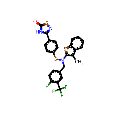 Cc1c(N(Cc2ccc(F)c(C(F)(F)F)c2)Sc2ccc(-c3nsc(=O)[nH]3)cc2)sc2ccccc12